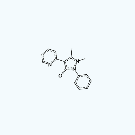 Cc1c(-c2ccccn2)c(=O)n(-c2ccccc2)n1C